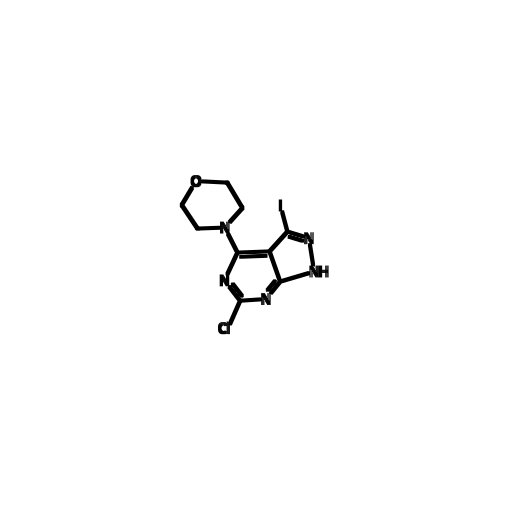 Clc1nc(N2CCOCC2)c2c(I)n[nH]c2n1